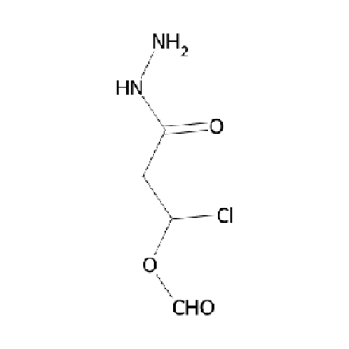 NNC(=O)CC(Cl)OC=O